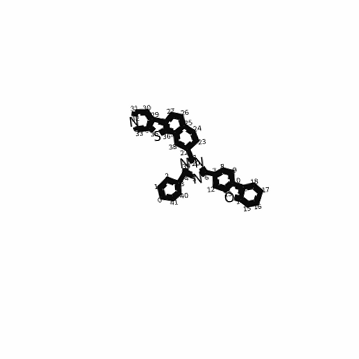 c1ccc(-c2nc(-c3ccc4c(c3)oc3ccccc34)nc(-c3ccc4ccc5c6ccncc6sc5c4c3)n2)cc1